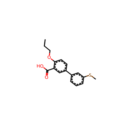 CCCOc1ccc(-c2cccc(SC)c2)cc1C(=O)O